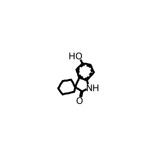 O=C1Nc2ccc(O)cc2C12CCCCC2